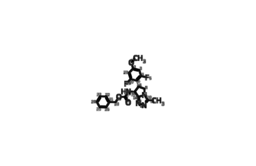 COc1cc(F)c([C@@H]2Cn3c(C)nnc3[C@H]2NC(=O)OCc2ccccc2)c(F)c1